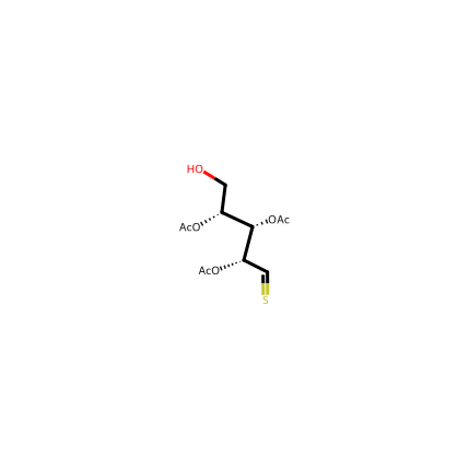 CC(=O)O[C@H]([C@H](C=S)OC(C)=O)[C@@H](CO)OC(C)=O